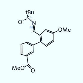 COC(=O)c1cccc(-c2ccc(OC)cc2/C=N/[S+]([O-])C(C)(C)C)c1